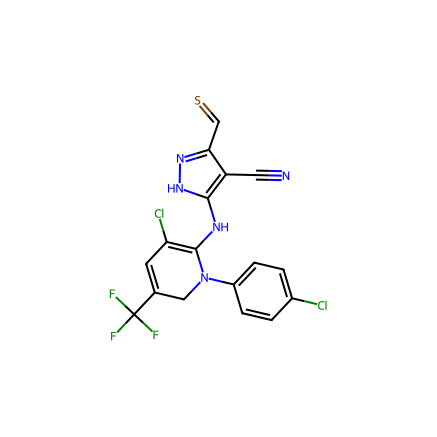 N#Cc1c(C=S)n[nH]c1NC1=C(Cl)C=C(C(F)(F)F)CN1c1ccc(Cl)cc1